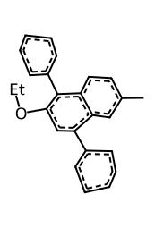 CCOc1cc(-c2ccccc2)c2cc(C)ccc2c1-c1ccccc1